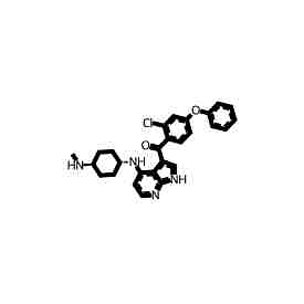 CN[C@H]1CC[C@H](Nc2ccnc3[nH]cc(C(=O)c4ccc(Oc5ccccc5)cc4Cl)c23)CC1